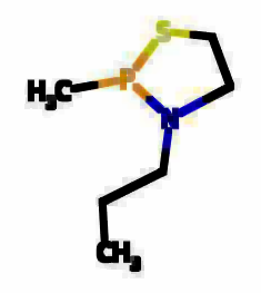 CCCN1CCSP1C